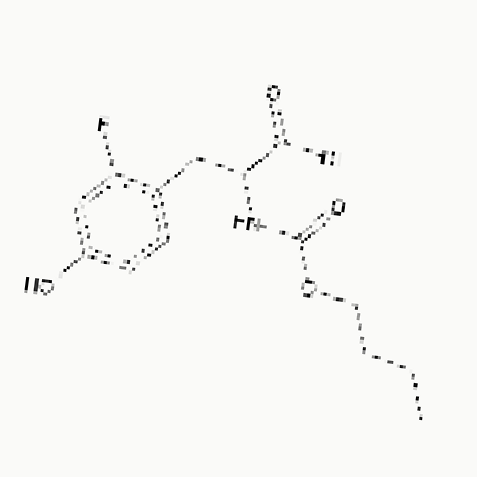 CCCCOC(=O)NC(Cc1ccc(O)cc1F)C(=O)O